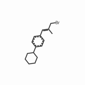 C/C(=C\c1ccc(C2CCCCC2)cc1)CBr